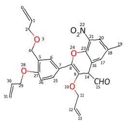 C=CCOCc1cc(C2=C(OCC=C)C(C=O)c3cc(C)cc([N+](=O)[O-])c3O2)ccc1OCC=C